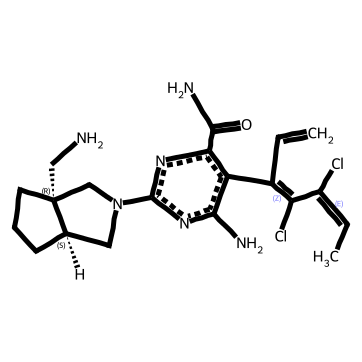 C=C/C(=C(Cl)\C(Cl)=C/C)c1c(N)nc(N2C[C@H]3CCC[C@@]3(CN)C2)nc1C(N)=O